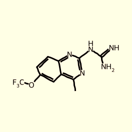 Cc1nc(NC(=N)N)nc2ccc(OC(F)(F)F)cc12